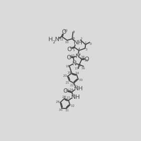 CC(C)CC(C(=O)NC(C)CC(N)=O)N1C(=O)N(Cc2ccc(NC(=O)Nc3ccccc3)cc2)C(C)(C)C1=O